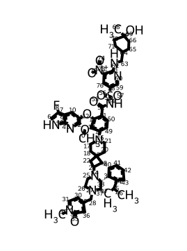 COc1nc2[nH]cc(F)c2cc1Oc1cc(N2CCC3(CC2)CC(N2CCN(Cc4ccn(C)c(=O)c4)C[C@H]2c2ccccc2C(C)C)C3)ccc1C(=O)NS(=O)(=O)c1cnc(NCC2CCC(C)(O)CC2)c([N+](=O)[O-])c1